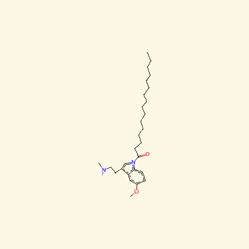 CCCCCCCCCCCCCCCC(=O)n1cc(CCN(C)C)c2cc(OC)ccc21